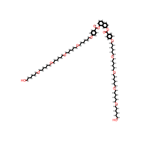 O=C(Oc1ccc2cccc(OC(=O)c3ccc(OCCCCCCOCCCCCCOCCCCCCOCCCCCCOCCCCCCO)cc3)c2c1)c1ccc(OCCCCCCOCCCCCCOCCCCCCOCCCCCCOCCCCCCO)cc1